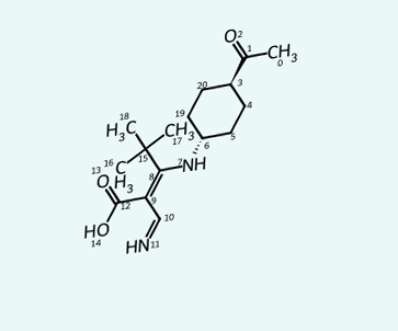 CC(=O)[C@H]1CC[C@H](N/C(=C(\C=N)C(=O)O)C(C)(C)C)CC1